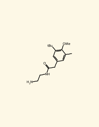 COc1c(C)cc(CC(=O)NCCN)cc1C(C)(C)C